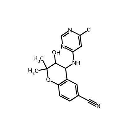 CC1(C)Oc2ccc(C#N)cc2C(Nc2cc(Cl)ncn2)C1O